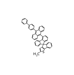 Cc1cc2c(s1)-c1ccccc1C21c2ccccc2-c2c(-c3c4ccccc4c(-c4ccc(-c5ccccc5)cc4)c4ccccc34)cccc21